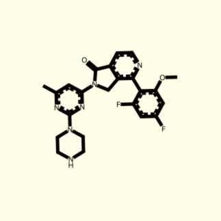 COc1cc(F)cc(F)c1-c1nccc2c1CN(c1cc(C)nc(N3CCNCC3)n1)C2=O